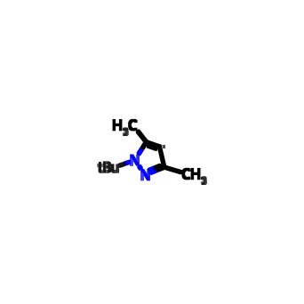 Cc1[c]c(C)n(C(C)(C)C)n1